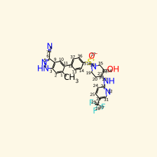 Cc1cc2[nH]nc(C#N)c2cc1-c1ccc([S+]([O-])N2CC[C@@H](Nc3ccc(C(F)(F)F)cn3)[C@@H](O)C2)cc1